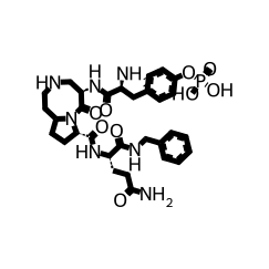 NC(=O)CC[C@H](NC(=O)[C@@H]1CCC2CCNC[C@H](NC(=O)[C@@H](N)Cc3ccc(OP(=O)(O)O)cc3)C(=O)N21)C(=O)NCc1ccccc1